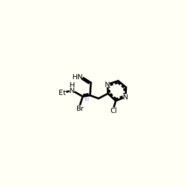 CCN/C(Br)=C(\C=N)Cc1nccnc1Cl